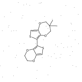 CC1(C)COc2csc(-c3scc4c3OCCO4)c2OC1